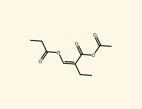 CCC(=O)OC=C(CC)C(=O)OC(C)=O